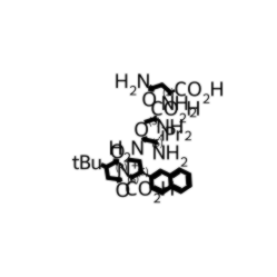 CC(C)(C)C1CC(=O)[N@+]2(CC[C@@H](c3ccc4ccccc4c3)[C@H]2C(=O)O)C1=O.CC(C)[C@H](N)C(N)=O.C[C@H](N)C(=O)O.NC(=O)C[C@H](N)C(=O)O